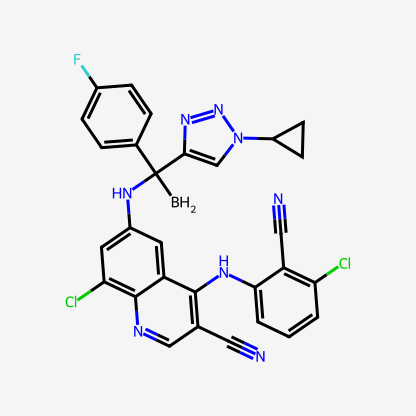 BC(Nc1cc(Cl)c2ncc(C#N)c(Nc3cccc(Cl)c3C#N)c2c1)(c1ccc(F)cc1)c1cn(C2CC2)nn1